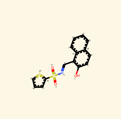 O=S(=O)(N=Cc1c(O)ccc2ccccc12)c1cccs1